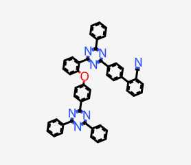 N#Cc1ccccc1-c1ccc(-c2nc(-c3ccccc3)nc(-c3ccccc3Oc3ccc(-c4nc(-c5ccccc5)nc(-c5ccccc5)n4)cc3)n2)cc1